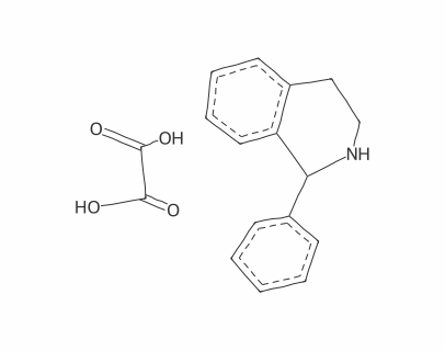 O=C(O)C(=O)O.c1ccc(C2NCCc3ccccc32)cc1